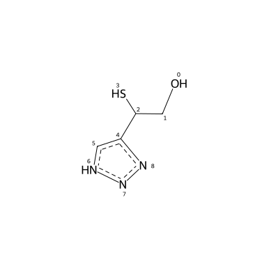 OCC(S)c1c[nH]nn1